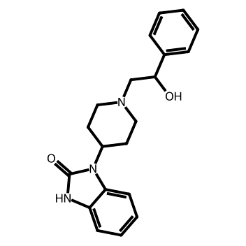 O=c1[nH]c2ccccc2n1C1CCN(CC(O)c2ccccc2)CC1